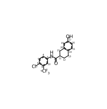 O=C(Nc1ccc(Cl)c(C(F)(F)F)c1)C1CCc2ccc(O)cc2C1